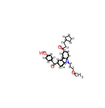 COCCCn1c2ccc(C(=O)CCC3CCCC3)cc2c2cc(C(=O)c3ccc(O)cc3)ccc21